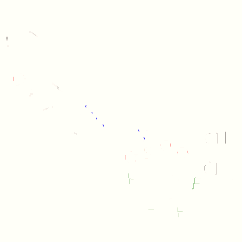 CC(C)Oc1c(F)c(F)c(F)c(F)c1S(=O)(=O)N1CCCC(n2ccc(-c3ccc(Oc4ccccc4)cc3)n2)C1